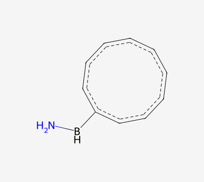 NBc1ccccccccc1